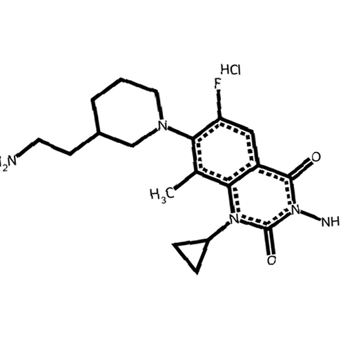 Cc1c(N2CCCC(CCN)C2)c(F)cc2c(=O)n(N)c(=O)n(C3CC3)c12.Cl